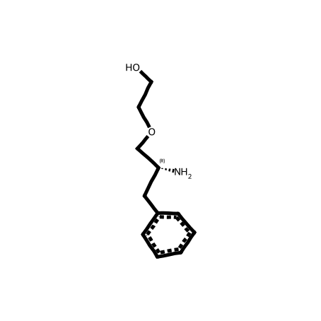 N[C@@H](COCCO)Cc1ccccc1